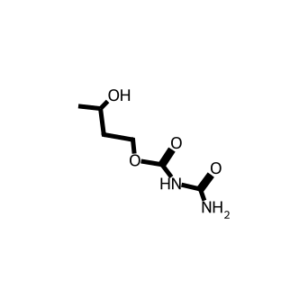 CC(O)CCOC(=O)NC(N)=O